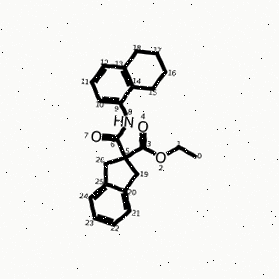 CCOC(=O)C1(C(=O)Nc2cccc3c2CCCC3)Cc2ccccc2C1